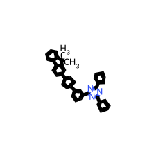 CC1(C)c2ccccc2-c2ccc(-c3ccc(-c4cccc(-c5nc(-c6ccccc6)nc(-c6ccccc6)n5)c4)cc3)cc21